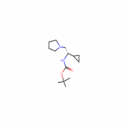 CC(C)(C)OC(=O)N[C@H](CN1CCCC1)C1CC1